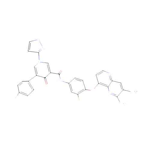 COc1cc2nccc(Oc3ccc(NC(=O)c4cn(-c5cc[nH]n5)cc(-c5ccc(F)cc5)c4=O)cc3F)c2nc1OC